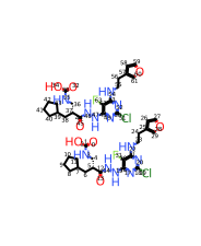 O=C(O)NC[C@@H](CC1CCCC1)C(=O)NNc1nc(Cl)nc(NCCc2ccoc2)c1F.O=C(O)NC[C@@H](CC1CCCC1)C(=O)NNc1nc(Cl)nc(NCCc2ccoc2)c1F